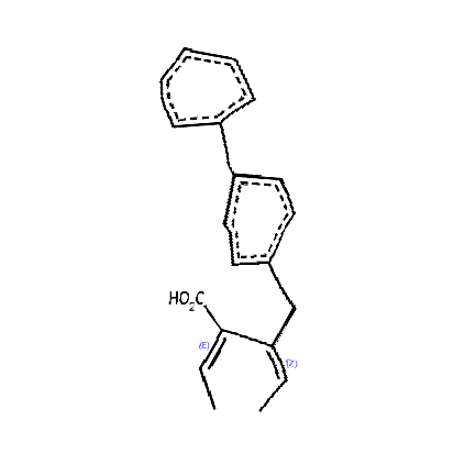 C/C=C(Cc1ccc(-c2ccccc2)cc1)\C(=C/C)C(=O)O